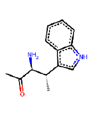 CC(=O)[C@@H](N)[C@@H](C)c1c[nH]c2ccccc12